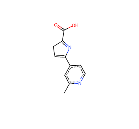 Cc1cc(C2=CCC(C(=O)O)=N2)ccn1